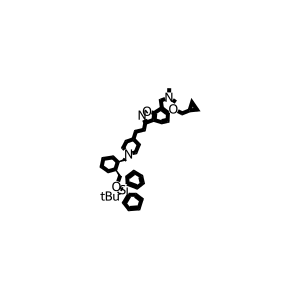 CN(C)Cc1c(OCC2CC2)ccc2c(CCC3CCN(C[C@@H]4CCCC[C@@H]4CO[Si](c4ccccc4)(c4ccccc4)C(C)(C)C)CC3)noc12